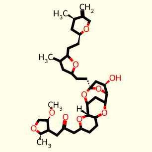 C=C1CO[C@@H](CCC2OC(CC[C@]34C[C@@H](O)C(O3)C3CC(O4)[C@H]4OC(CC(=O)CC5[C@H](C)OC[C@@H]5OC)CCC4O3)CC2C)C[C@H]1C